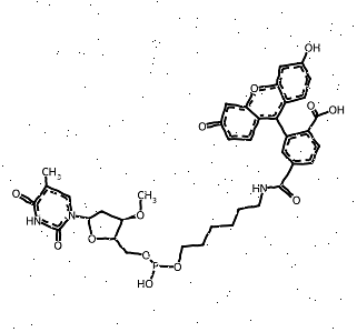 CO[C@@H]1CC(n2cc(C)c(=O)[nH]c2=O)OC1COP(O)OCCCCCCNC(=O)c1ccc(C(=O)O)c(-c2c3ccc(=O)cc-3oc3cc(O)ccc23)c1